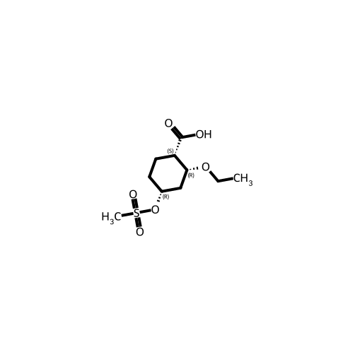 CCO[C@@H]1C[C@H](OS(C)(=O)=O)CC[C@@H]1C(=O)O